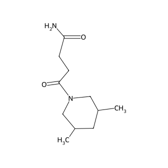 CC1CC(C)CN(C(=O)CCC(N)=O)C1